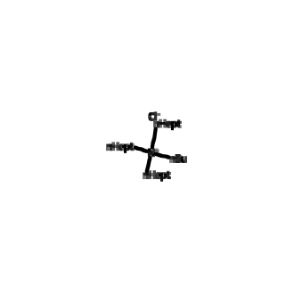 CCCCCCC[N+](CCCC)(CCCCCCC)CCCCCCC.[Cl-]